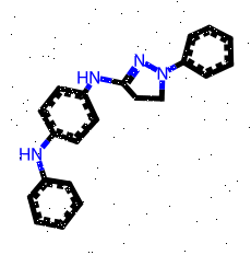 c1ccc(Nc2ccc(NC3=NN(c4ccccc4)CC3)cc2)cc1